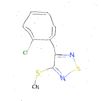 N#CSc1nsnc1-c1ccccc1Cl